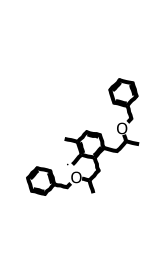 [CH2]c1c(C)ccc(CC(C)OCc2ccccc2)c1CC(C)OCc1ccccc1